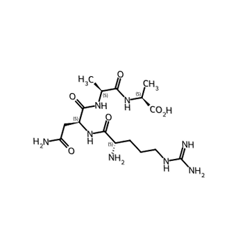 C[C@H](NC(=O)[C@H](C)NC(=O)[C@H](CC(N)=O)NC(=O)[C@@H](N)CCCNC(=N)N)C(=O)O